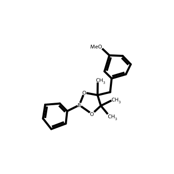 COc1cccc(CC2(C)OB(c3ccccc3)OC2(C)C)c1